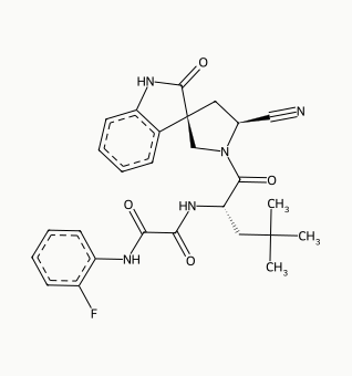 CC(C)(C)C[C@H](NC(=O)C(=O)Nc1ccccc1F)C(=O)N1C[C@]2(C[C@H]1C#N)C(=O)Nc1ccccc12